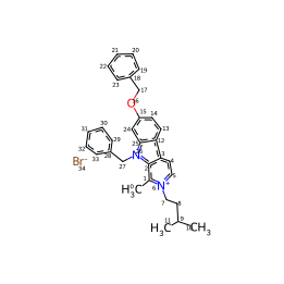 Cc1c2c(cc[n+]1CCC(C)C)c1ccc(OCc3ccccc3)cc1n2Cc1ccccc1.[Br-]